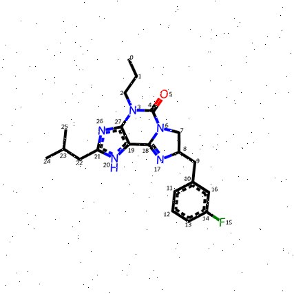 CCCN1C(=O)N2CC(Cc3cccc(F)c3)N=C2c2[nH]c(CC(C)C)nc21